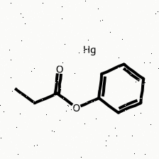 CCC(=O)Oc1ccccc1.[Hg]